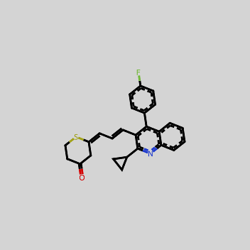 O=C1CCSC(=CC=Cc2c(C3CC3)nc3ccccc3c2-c2ccc(F)cc2)C1